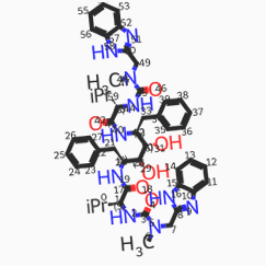 CC(C)[C@H](NC(=O)N(C)Cc1nc2ccccc2[nH]1)C(=O)N[C@@H](Cc1ccccc1)[C@H](O)[C@@H](O)[C@H](Cc1ccccc1)NC(=O)[C@@H](NC(=O)N(C)Cc1nc2ccccc2[nH]1)C(C)C